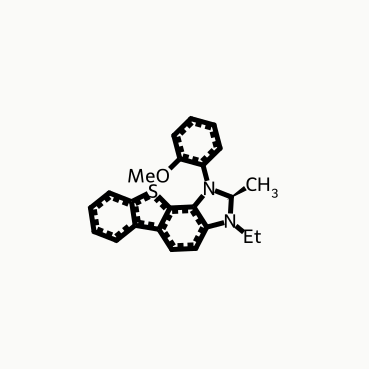 CCN1c2ccc3c(sc4ccccc43)c2N(c2ccccc2OC)[C@H]1C